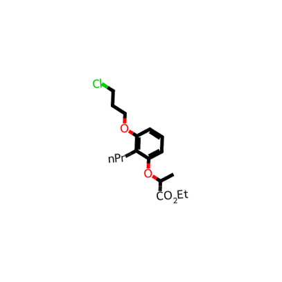 CCCc1c(OCCCCl)cccc1OC(C)C(=O)OCC